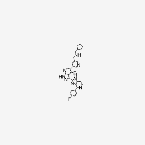 Fc1ccc(-c2nccc3[nH]c(-c4n[nH]c5ncc(-c6cncc(CNCC7CCCC7)c6)c(F)c45)nc23)cc1